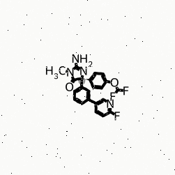 CN1C(=O)[C@](c2ccc(OC(F)F)cc2)(c2cccc(-c3ccc(F)nc3)c2)N=C1N